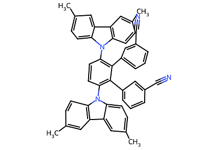 Cc1ccc2c(c1)c1cc(C)ccc1n2-c1ccc(-n2c3ccc(C)cc3c3cc(C)ccc32)c(-c2cccc(C#N)c2)c1-c1cccc(C#N)c1